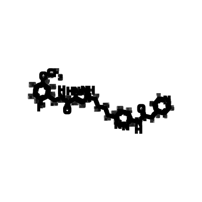 O=C(Cc1ccncc1)Nc1ccc(CCCCN2C=C(C(=O)NCc3cc(OC(F)(F)F)ccc3F)NN2)nn1